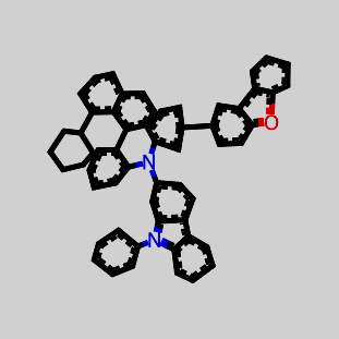 c1ccc(-n2c3ccccc3c3ccc(N(c4cccc(-c5ccc6oc7ccccc7c6c5)c4)c4ccccc4-c4cccc5cccc(C6CCCCC6)c45)cc32)cc1